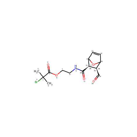 CC(C)(Br)C(=O)OCCNC(=O)[C@H]1C2C=CC(O2)[C@H]1C=O